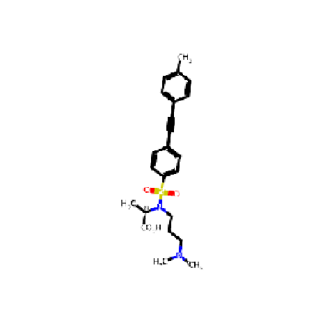 Cc1ccc(C#Cc2ccc(S(=O)(=O)N(CCCN(C)C)[C@H](C)C(=O)O)cc2)cc1